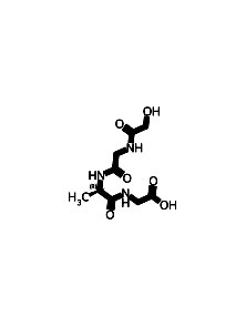 C[C@@H](NC(=O)CNC(=O)CO)C(=O)NCC(=O)O